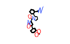 N#Cc1ccccc1C1CCCN1C(=O)c1cc(-c2ccc3c(c2)OCO3)on1